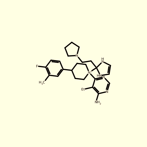 CCc1c(N)ncnc1[N+]1(C2(CCN3CCCC3)NC=CN2)CCC(c2ccc(F)c(C)c2)CC1